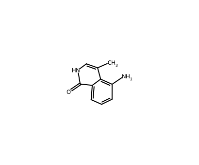 Cc1c[nH]c(=O)c2cccc(N)c12